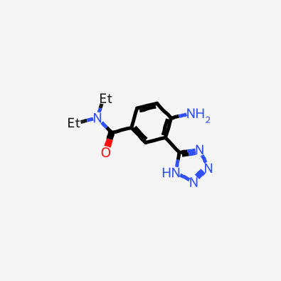 CCN(CC)C(=O)c1ccc(N)c(-c2nnn[nH]2)c1